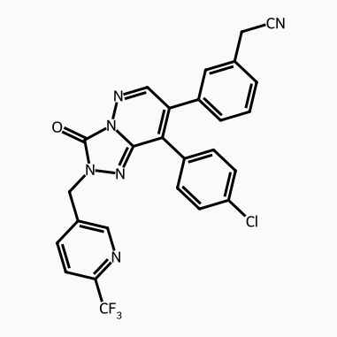 N#CCc1cccc(-c2cnn3c(=O)n(Cc4ccc(C(F)(F)F)nc4)nc3c2-c2ccc(Cl)cc2)c1